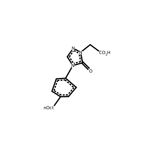 CCCCCCCCc1ccc(-n2cnn(CC(=O)O)c2=O)cc1